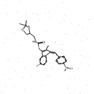 CC1=C(CC(=O)NCC2COC(C)(C)O2)c2cc(F)ccc2/C1=C\c1ccc([S+](C)[O-])cc1